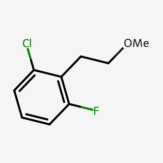 COCCc1c(F)cccc1Cl